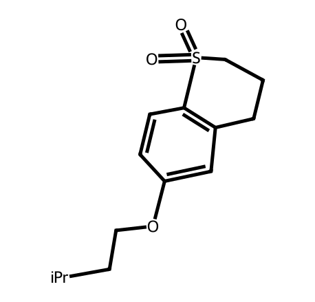 CC(C)CCOc1ccc2c(c1)CCCS2(=O)=O